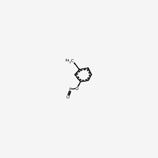 Cc1cccc(OP=O)c1